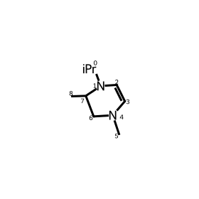 CC(C)N1C=CN(C)CC1C